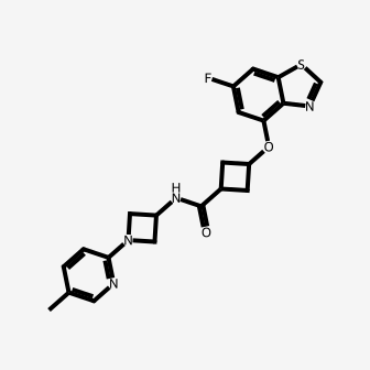 Cc1ccc(N2CC(NC(=O)C3CC(Oc4cc(F)cc5scnc45)C3)C2)nc1